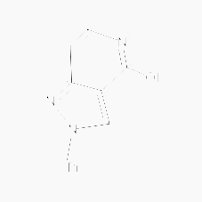 CC(C)n1cc2c(O)nccc2n1